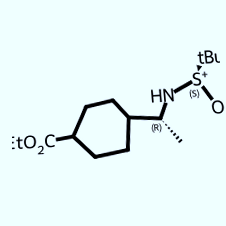 CCOC(=O)C1CCC([C@@H](C)N[S@+]([O-])C(C)(C)C)CC1